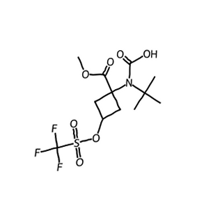 COC(=O)C1(N(C(=O)O)C(C)(C)C)CC(OS(=O)(=O)C(F)(F)F)C1